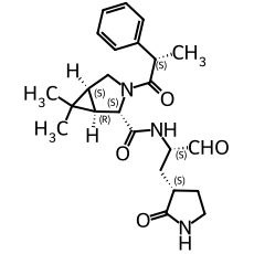 C[C@H](C(=O)N1C[C@H]2[C@@H]([C@H]1C(=O)N[C@H](C=O)C[C@@H]1CCNC1=O)C2(C)C)c1ccccc1